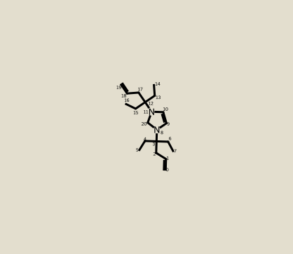 C=CCC(CC)(CC)N1C=CN(C(CC)(CC)CC=C)C1